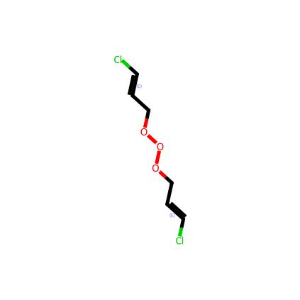 Cl/C=C/COOOC/C=C/Cl